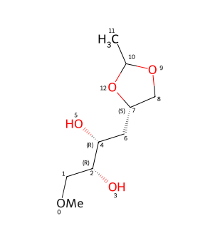 COC[C@@H](O)[C@H](O)C[C@H]1COC(C)O1